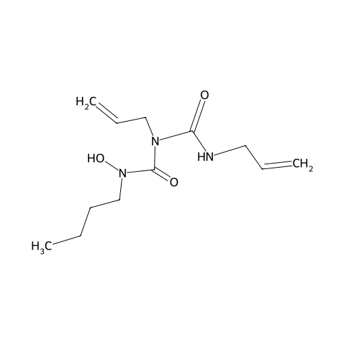 C=CCNC(=O)N(CC=C)C(=O)N(O)CCCC